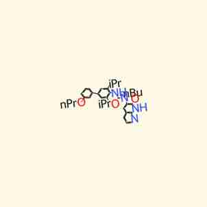 CCCCN(C(=O)Nc1c(C(C)C)cc(-c2cccc(OCCC)c2)cc1C(C)C)c1cc2cccnc2[nH]c1=O